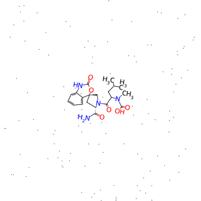 CC(C)CC(C(=O)N1C[C@]2(C[C@H]1C(N)=O)OC(=O)Nc1ccccc12)N(C)C(=O)O